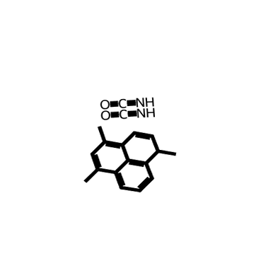 Cc1cc(C)c2cccc3c2c1C=CC3C.N=C=O.N=C=O